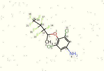 CC(Oc1c(Cl)cc(N)cc1Cl)C(F)(F)C(F)(F)C(F)(F)F